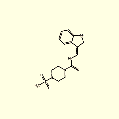 CS(=O)(=O)N1CCN(C(=S)N/C=C2/CNc3ccccc32)CC1